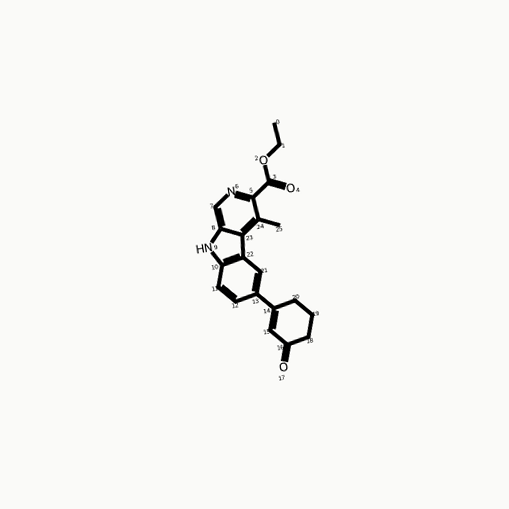 CCOC(=O)c1ncc2[nH]c3ccc(C4=CC(=O)CCC4)cc3c2c1C